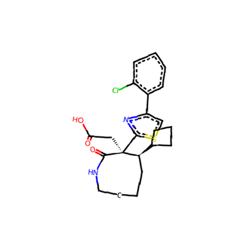 O=C(O)C[C@@]1(c2nc(-c3ccccc3Cl)cs2)C(=O)NCCCC[C@@H]1C1CCC1